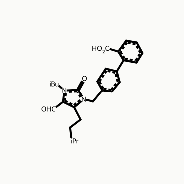 CCC(C)n1c(C=O)c(CCC(C)C)n(Cc2ccc(-c3ccccc3C(=O)O)cc2)c1=O